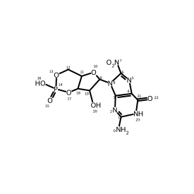 Nc1nc2c(nc([N+](=O)[O-])n2C2OC3COP(=O)(O)OC3C2O)c(=O)[nH]1